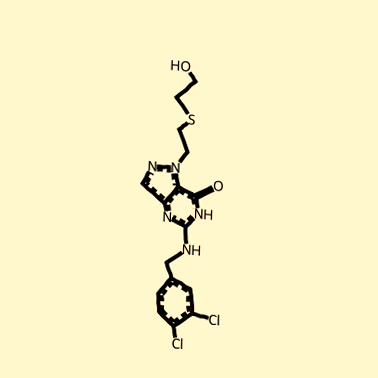 O=c1[nH]c(NCc2ccc(Cl)c(Cl)c2)nc2cnn(CCSCCO)c12